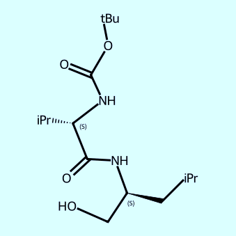 CC(C)C[C@@H](CO)NC(=O)[C@@H](NC(=O)OC(C)(C)C)C(C)C